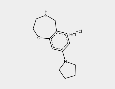 Cl.Cl.c1cc2c(cc1N1CCCC1)OCCNC2